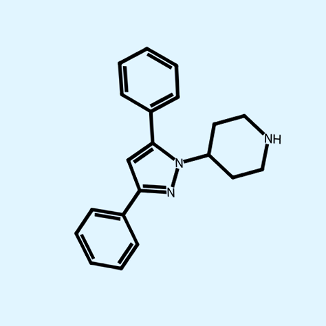 c1ccc(-c2cc(-c3ccccc3)n(C3CCNCC3)n2)cc1